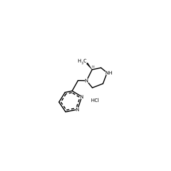 C[C@H]1CNCCN1Cc1cccnn1.Cl